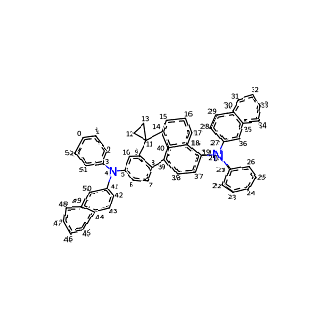 c1ccc(N(c2ccc3c(c2)C2(CC2)c2cccc4c(N(c5ccccc5)c5ccc6ccccc6c5)ccc-3c24)c2ccc3ccccc3c2)cc1